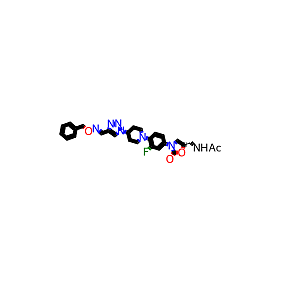 CC(=O)NC[C@H]1CN(c2ccc(N3CCC(n4cc(C=NOCc5ccccc5)nn4)CC3)c(F)c2)C(=O)O1